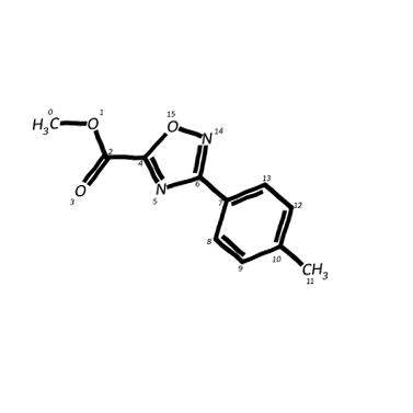 COC(=O)c1nc(-c2ccc(C)cc2)no1